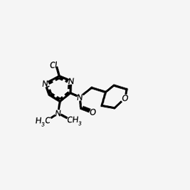 CN(C)c1cnc(Cl)nc1N(C=O)CC1CCOCC1